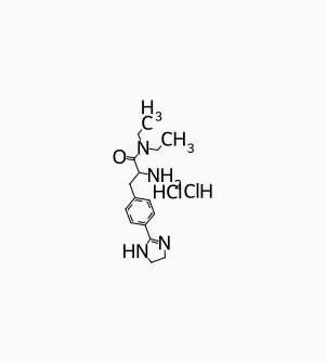 CCN(CC)C(=O)C(N)Cc1ccc(C2=NCCN2)cc1.Cl.Cl